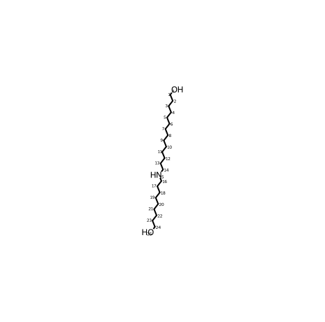 OCCCCCCCCCCCCCCNCCCCCCCCCO